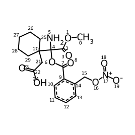 COC(=O)C(N)(OC(=O)c1ccccc1CO[N+](=O)[O-])C1(CC(=O)O)CCCCC1